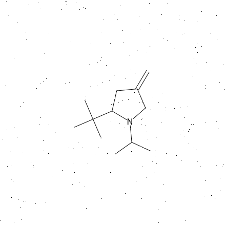 C=C1CC(C(C)(C)C)N(C(C)C)C1